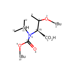 CC(OC(C)(C)C)[C@@H](C(=O)O)N(C(=O)OC(C)(C)C)[SiH](C)C